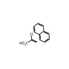 C=C(Cl)C(=O)O.c1ccc2ccccc2c1